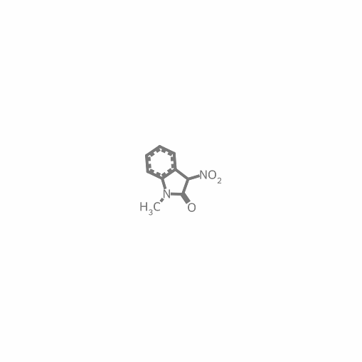 CN1C(=O)C([N+](=O)[O-])c2ccccc21